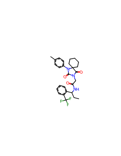 CCC(NC(=O)CN1C(=O)N(c2ccc(C)cc2)C2(CCCCC2)C1=O)c1ccccc1C(F)(F)F